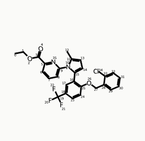 CCOC(=O)c1cccc(-n2c(C)ccc2-c2cc(C(F)(F)F)ccc2OCc2ccccc2Cl)n1